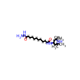 CC1(C)CC(NC(=O)CCCCCCCCCCC(=O)NN)CC(C)(C)N1